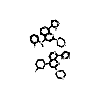 CN(c1ccccc1F)c1cc(N2CCOCC2)nc2c(-c3ccn[nH]3)nccc12.FC1CCCN(c2cc(N3CCOCC3)nc3c(-c4ccn[nH]4)nccc23)C1